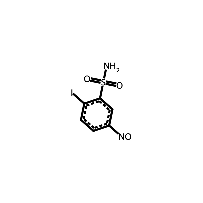 NS(=O)(=O)c1cc(N=O)ccc1I